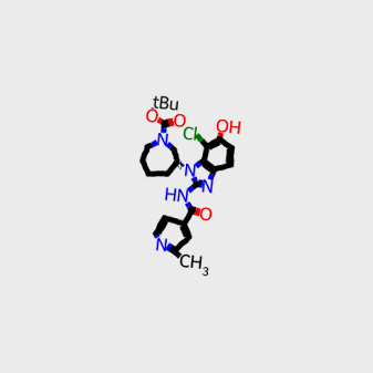 Cc1cc(C(=O)Nc2nc3ccc(O)c(Cl)c3n2[C@@H]2CCCCN(C(=O)OC(C)(C)C)C2)ccn1